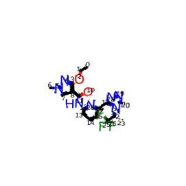 CCOc1nn(C)cc1C(=O)Nc1cccc(-c2nncn2[C@H](C)C(F)(F)F)n1